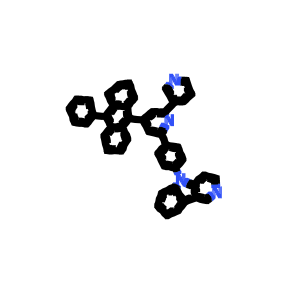 c1ccc(-c2c3ccccc3c(-c3cc(-c4ccc(-n5c6ccccc6c6cnccc65)cc4)nc(-c4cccnc4)c3)c3ccccc23)cc1